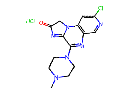 CN1CCN(C2=Nc3cnc(Cl)cc3N3CC(=O)N=C23)CC1.Cl